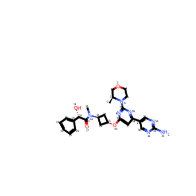 C[C@H]1COCCN1c1nc(O[C@H]2C[C@H](N(C)C(=O)[C@@H](O)c3ccccc3)C2)cc(-c2cnc(N)nc2)n1